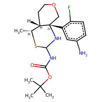 C[C@H]1SC(NC(=O)OC(C)(C)C)N[C@@]2(c3cc(N)ccc3F)COCC[C@@H]12